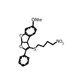 COc1ccc2c(c1)OC1OC(c3ccccc3)=C(SCCCC[N+](=O)[O-])C21